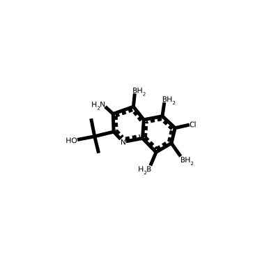 Bc1c(Cl)c(B)c2c(B)c(N)c(C(C)(C)O)nc2c1B